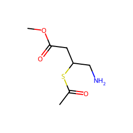 COC(=O)CC(CN)SC(C)=O